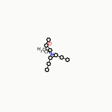 CC1(C)c2cc(-n3c4ccc(-c5ccc(-c6ccccc6)cc5)cc4c4cc(-c5ccc(-c6ccccc6)cc5)ccc43)ccc2-c2c1ccc1c2oc2ccccc21